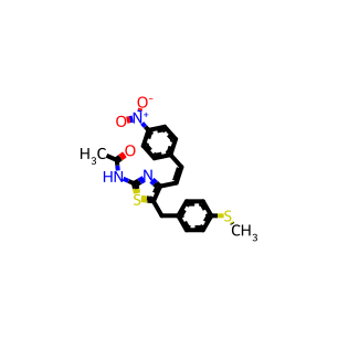 CSc1ccc(Cc2sc(NC(C)=O)nc2/C=C\c2ccc([N+](=O)[O-])cc2)cc1